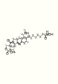 CC[C@@]1(O)C(=O)OCc2c1cc1n(c2=O)Cc2cc3c(CNC)c(OCCCCCCC(=O)NO)ccc3nc2-1